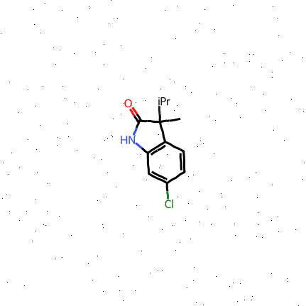 CC(C)C1(C)C(=O)Nc2cc(Cl)ccc21